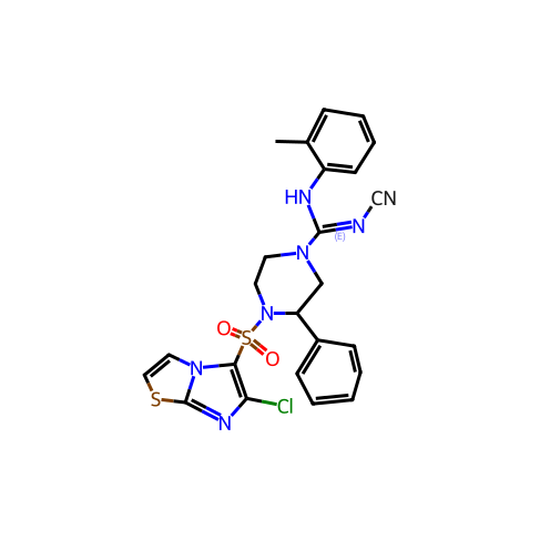 Cc1ccccc1N/C(=N\C#N)N1CCN(S(=O)(=O)c2c(Cl)nc3sccn23)C(c2ccccc2)C1